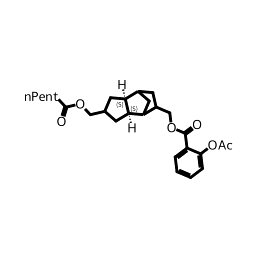 CCCCCC(=O)OCC1C[C@@H]2C3CC(CC3COC(=O)c3ccccc3OC(C)=O)[C@@H]2C1